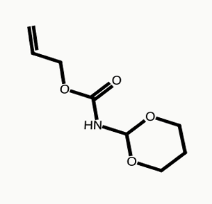 C=CCOC(=O)NC1OCCCO1